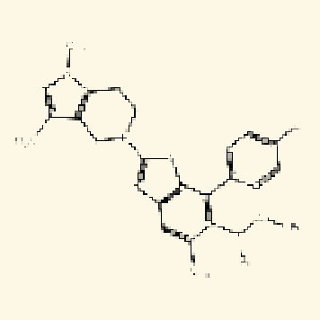 CC(=O)[C@@H](OC(C)(C)C)c1c(C)cc2nc(N3CCc4c(c(C)nn4C)C3)sc2c1-c1ccc(Cl)cc1